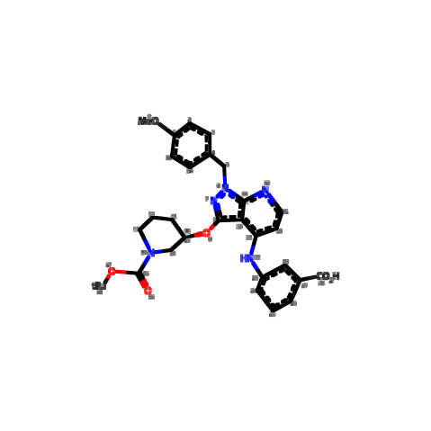 COc1ccc(Cn2nc(O[C@@H]3CCCN(C(=O)OC(C)(C)C)C3)c3c(Nc4cccc(C(=O)O)c4)ccnc32)cc1